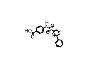 O=C(O)c1ccc(NS(=O)(=O)c2csc(-c3ccccc3)n2)cc1